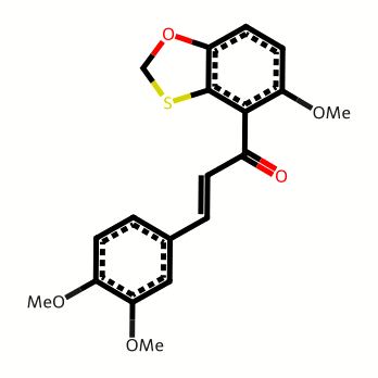 COc1ccc(/C=C/C(=O)c2c(OC)ccc3c2SCO3)cc1OC